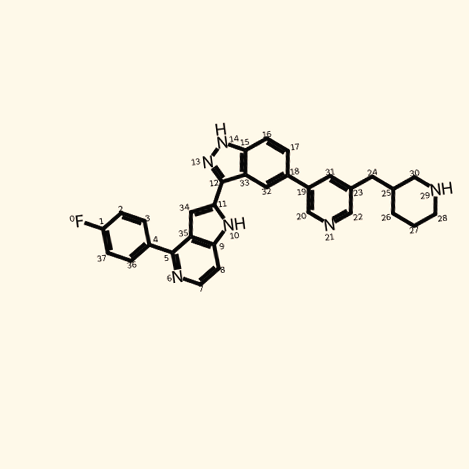 Fc1ccc(-c2nccc3[nH]c(-c4n[nH]c5ccc(-c6cncc(CC7CCCNC7)c6)cc45)cc23)cc1